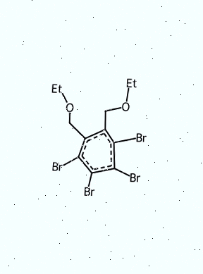 CCOCc1c(Br)c(Br)c(Br)c(Br)c1COCC